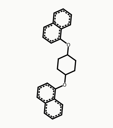 c1ccc2c(OC3CCC(Oc4cccc5ccccc45)CC3)cccc2c1